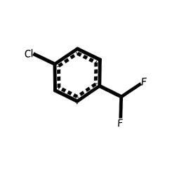 FC(F)c1[c]cc(Cl)cc1